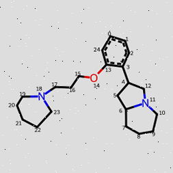 c1ccc(C2CC3CCCCN3C2)c(OCCCN2CCCCC2)c1